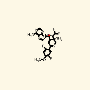 COc1cc(F)c(C2=NCC(N)([C@@H](O)C(F)F)C(Cn3cnc4c(N)ncnc43)=C2)cc1F